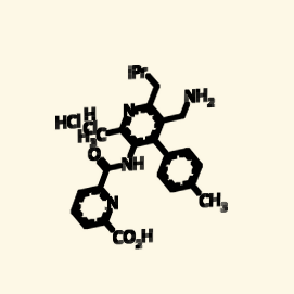 Cc1ccc(-c2c(CN)c(CC(C)C)nc(C)c2NC(=O)c2cccc(C(=O)O)n2)cc1.Cl.Cl